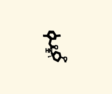 CO[C@H]1CC[C@@](C)(NC(=O)Cc2cc(C)ccc2C)CC1